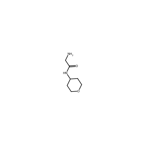 NCC(=O)NC1CCOCC1